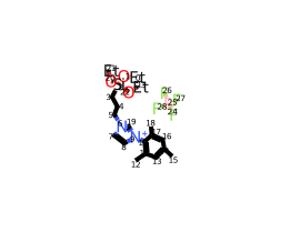 CCO[Si](CCCn1cc[n+](-c2c(C)cc(C)cc2C)c1)(OCC)OCC.F[B-](F)(F)F